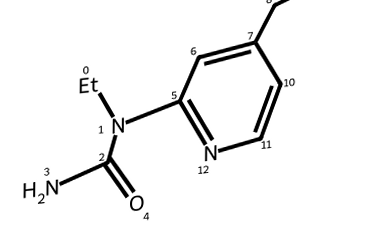 CCN(C(N)=O)c1cc(CCl)ccn1